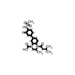 CC(C)CC(=O)N1c2ccc(-c3ccc(NS(C)(=O)=O)c(F)c3)cc2N(C(=O)O)C[C@@H]1C